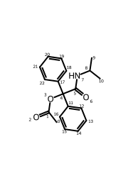 CC(=O)OC(C(=O)NC(C)C)(c1ccccc1)c1ccccc1